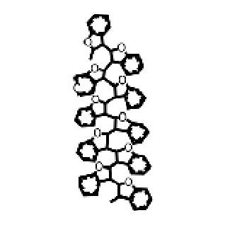 CC1Oc2ccccc2C1C1Oc2ccccc2C1C1Oc2ccccc2C1C1Oc2ccccc2C1C1Oc2ccccc2C1C1Oc2ccccc2C1C1Oc2ccccc2C1C1Oc2ccccc2C1C1Oc2ccccc2C1C1Oc2ccccc2C1C